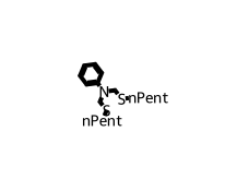 CCCCCSCN(CSCCCCC)c1ccccc1